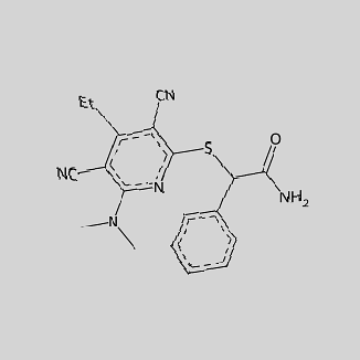 CCc1c(C#N)c(SC(C(N)=O)c2ccccc2)nc(N(C)C)c1C#N